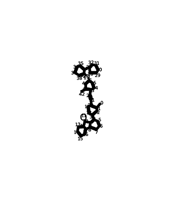 Cc1cc(-c2cccc3c2C(=O)c2ccccc2-3)ccc1C#Cc1ccc(-n2c3ccccc3c3ccccc32)cc1C